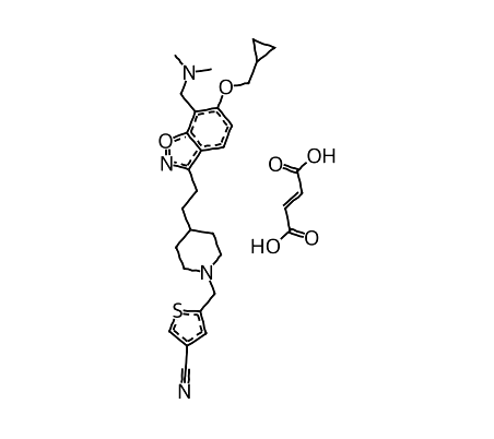 CN(C)Cc1c(OCC2CC2)ccc2c(CCC3CCN(Cc4cc(C#N)cs4)CC3)noc12.O=C(O)/C=C/C(=O)O